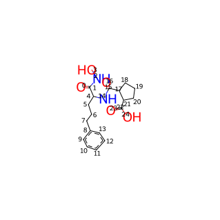 O=C(NO)C(CCCc1ccccc1)NC(=O)C1CCCC1C(=O)O